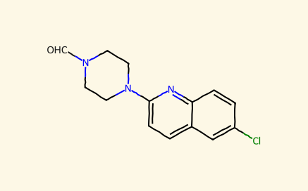 O=CN1CCN(c2ccc3cc(Cl)ccc3n2)CC1